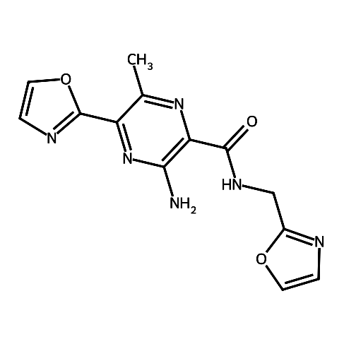 Cc1nc(C(=O)NCc2ncco2)c(N)nc1-c1ncco1